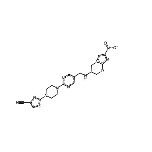 N#Cc1csc(N2CCN(c3ncc(CNC4COc5nc([N+](=O)[O-])cn5C4)cn3)CC2)n1